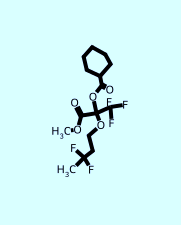 COC(=O)C(OCCC(C)(F)F)(OC(=O)C1CCCCC1)C(F)(F)F